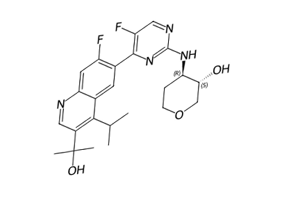 CC(C)c1c(C(C)(C)O)cnc2cc(F)c(-c3nc(N[C@@H]4CCOC[C@H]4O)ncc3F)cc12